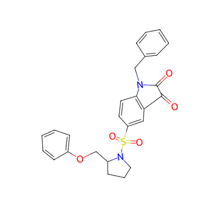 O=C1C(=O)N(Cc2ccccc2)c2ccc(S(=O)(=O)N3CCCC3COc3ccccc3)cc21